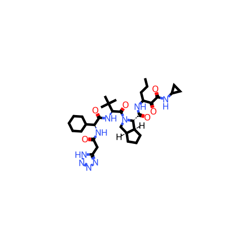 CCCC(NC(=O)[C@@H]1[C@H]2CCC[C@H]2CN1C(=O)[C@@H](NC(=O)[C@H](NC(=O)Cc1nnn[nH]1)C1CCCCC1)C(C)(C)C)C(=O)C(=O)NC1CC1